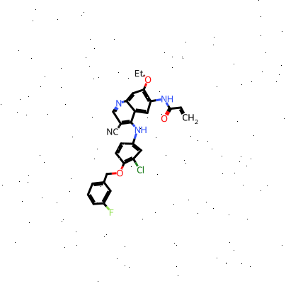 C=CC(=O)Nc1cc2c(Nc3ccc(OCc4cccc(F)c4)c(Cl)c3)c(C#N)cnc2cc1OCC